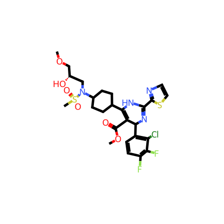 COC[C@@H](O)CN(C1CCC(C2=C(C(=O)OC)C(c3ccc(F)c(F)c3Cl)N=C(c3nccs3)N2)CC1)S(C)(=O)=O